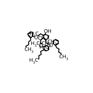 CCCCCc1ccccc1OC(C)(C)Cc1ccc(O)c(CC(C)(C)Oc2ccccc2CCCCC)c1CC(C)(C)Oc1ccccc1CCCCC